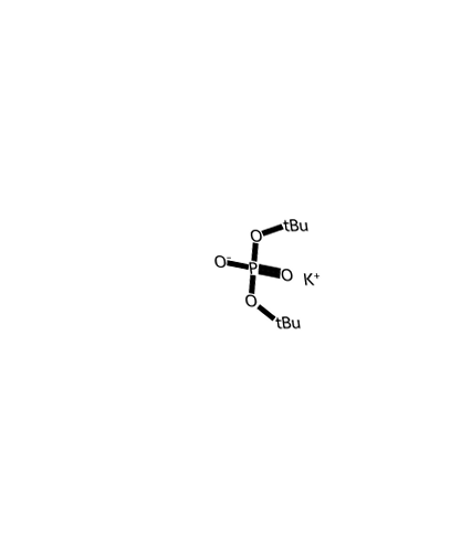 CC(C)(C)OP(=O)([O-])OC(C)(C)C.[K+]